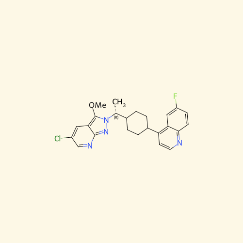 COc1c2cc(Cl)cnc2nn1[C@H](C)C1CCC(c2ccnc3ccc(F)cc23)CC1